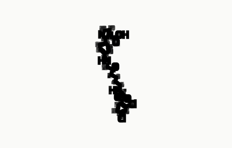 O=C(CCCCNCS(=O)(=O)c1ccc(Cl)cc1Cl)CNCc1ccc(C2=NCCN2C(=O)O)cc1